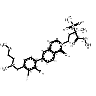 COCCN(C)Cc1ccc(-c2ccc3c(=O)n(CC[C@](C)(C(=O)NO)S(C)(=O)=O)cnc3c2)c(F)c1F